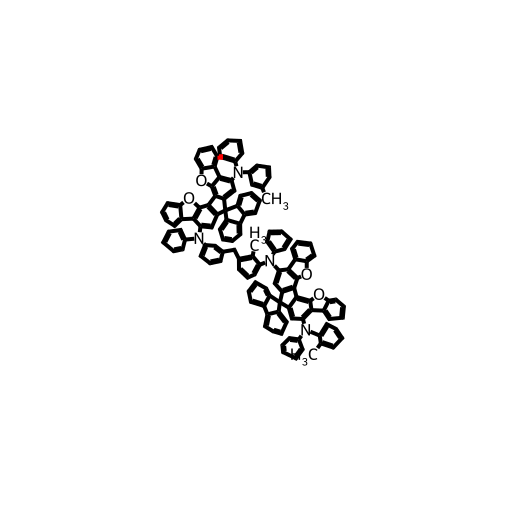 Cc1cccc(N(c2ccccc2)c2cc3c(c4oc5ccccc5c24)-c2c(cc(N(c4ccccc4)c4cccc(Cc5cccc(N(c6ccccc6)c6cc7c(c8oc9ccccc9c68)-c6c(cc(N(c8ccccc8)c8ccccc8C)c8c6oc6ccccc68)C76c7ccccc7-c7ccccc76)c5C)c4)c4c2oc2ccccc24)C32c3ccccc3-c3ccccc32)c1